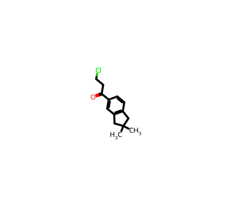 CC1(C)Cc2ccc(C(=O)CCCl)cc2C1